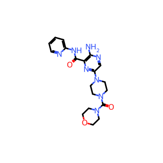 Nc1ncc(N2CCN(C(=O)N3CCOCC3)CC2)nc1C(=O)Nc1ccccn1